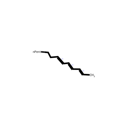 [CH2]CCCCCC/C=C/C=C/C=C/C